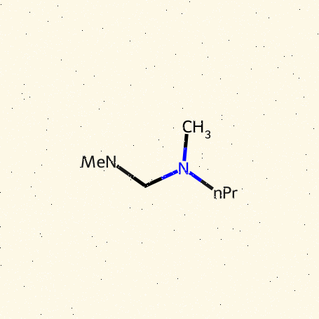 CCCN(C)CNC